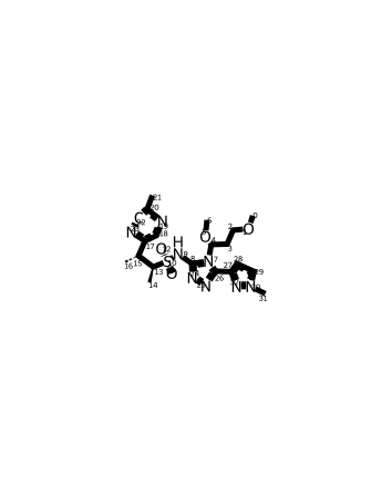 COCCC(OC)n1c(NS(=O)(=O)[C@@H](C)[C@H](C)c2cnc(C)cn2)nnc1-c1ccn(C)n1